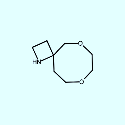 C1CC2(CCOCCOC2)N1